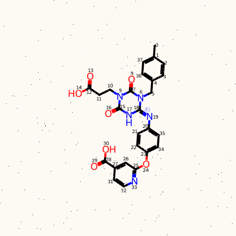 Cc1ccc(Cn2c(=O)n(CCC(=O)O)c(=O)[nH]/c2=N\c2ccc(Oc3cc(C(=O)O)ccn3)cc2)cc1